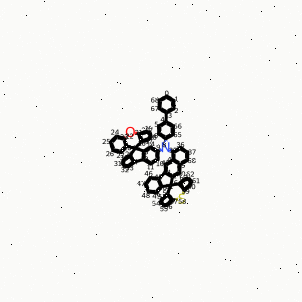 c1ccc(-c2ccc(N(c3ccc4c(c3)C3(c5ccccc5Oc5ccccc53)c3ccccc3-4)c3cccc4cc5c(cc34)-c3ccccc3C53c4ccccc4Sc4ccccc43)cc2)cc1